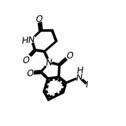 O=C1CCC(N2C(=O)c3cccc(NI)c3C2=O)C(=O)N1